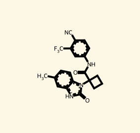 Cc1ccc2c(c1)[nH]c(=O)n2C1(C(=O)Nc2ccc(C#N)c(C(F)(F)F)c2)CCC1